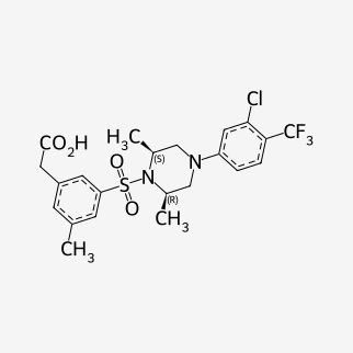 Cc1cc(CC(=O)O)cc(S(=O)(=O)N2[C@H](C)CN(c3ccc(C(F)(F)F)c(Cl)c3)C[C@@H]2C)c1